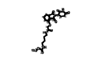 CC(C)(C)OC(=O)NCCCCNC(=O)COc1cccc2c1C(=O)N(C1CCC(=O)NC1=O)C2=O